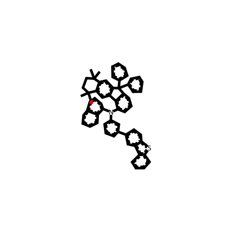 CC1(C)CCC(C)(C)c2cc3c(cc21)-c1c(N(c2cccc(-c4ccc5sc6ccccc6c5c4)c2)c2cccc4ccccc24)cccc1C3(c1ccccc1)c1ccccc1